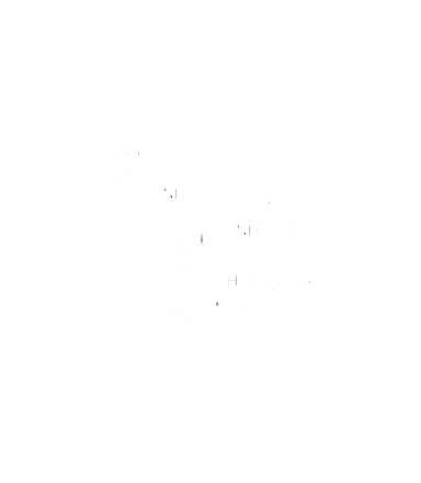 CCC(CC)NCc1cc(CNC(CC)CC)cc(OCC[C@]23CCC4C(CCC5CC(=O)CC[C@@]54C)C2CC[C@@H]3O)c1